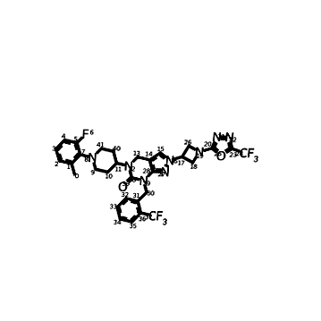 Cc1cccc(F)c1N1CCC(N2Cc3cn(C4CN(c5nnc(C(F)(F)F)o5)C4)nc3N(Cc3ccccc3C(F)(F)F)C2=O)CC1